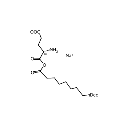 CCCCCCCCCCCCCCCCCC(=O)OC(=O)[C@@H](N)CCC(=O)[O-].[Na+]